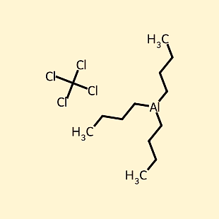 CCC[CH2][Al]([CH2]CCC)[CH2]CCC.ClC(Cl)(Cl)Cl